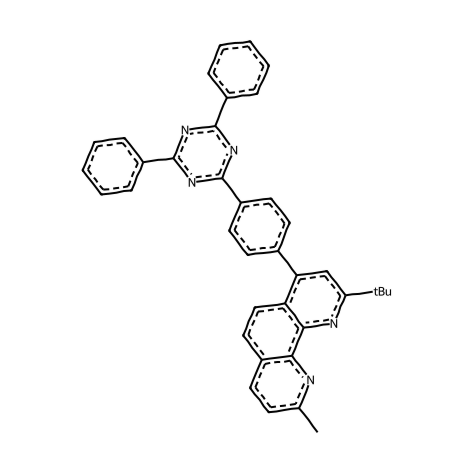 Cc1ccc2ccc3c(-c4ccc(-c5nc(-c6ccccc6)nc(-c6ccccc6)n5)cc4)cc(C(C)(C)C)nc3c2n1